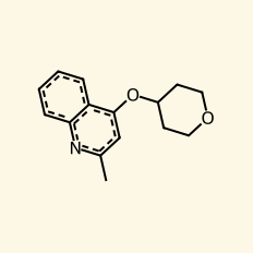 Cc1cc(OC2CCOCC2)c2ccccc2n1